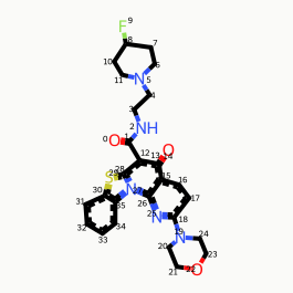 O=C(NCCN1CCC(F)CC1)c1c(=O)c2ccc(N3CCOCC3)nc2n2c1sc1ccccc12